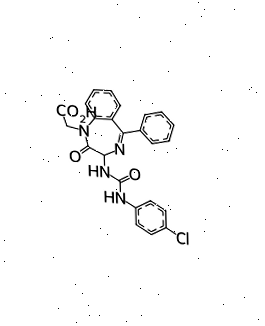 O=C(O)CN1C(=O)C(NC(=O)Nc2ccc(Cl)cc2)N=C(c2ccccc2)c2ccccc21